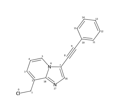 ClCc1cccn2c(C#Cc3ccccc3)cnc12